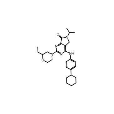 CCC1CN(c2nc(Nc3ccc(C4CCCCC4)cc3)c3c(n2)C(=O)N(C(C)C)C3)CCO1